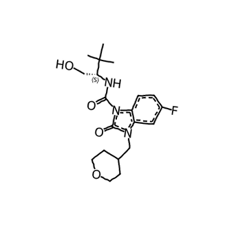 CC(C)(C)[C@@H](CO)NC(=O)n1c(=O)n(CC2CCOCC2)c2cc(F)ccc21